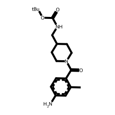 Cc1cc(N)ccc1C(=O)N1CCC(CNC(=O)OC(C)(C)C)CC1